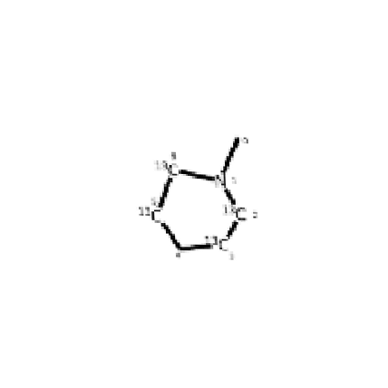 CN1[13CH2][13CH2]C[13CH2][13CH2]1